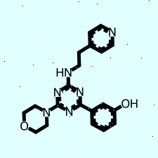 Oc1cccc(-c2nc(NCCc3ccncc3)nc(N3CCOCC3)n2)c1